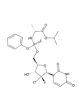 CC(C)OC(=O)[C@@H](C)NP(=S)(OC[C@H]1O[C@@H](n2ccc(=O)[nH]c2=O)[C@](F)(Cl)[C@@H]1O)Oc1ccccc1